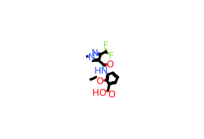 CCOc1c(NC(=O)c2cn(C)nc2C(F)F)cccc1C(=O)O